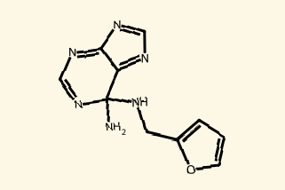 NC1(NCc2ccco2)N=CN=C2N=CN=C21